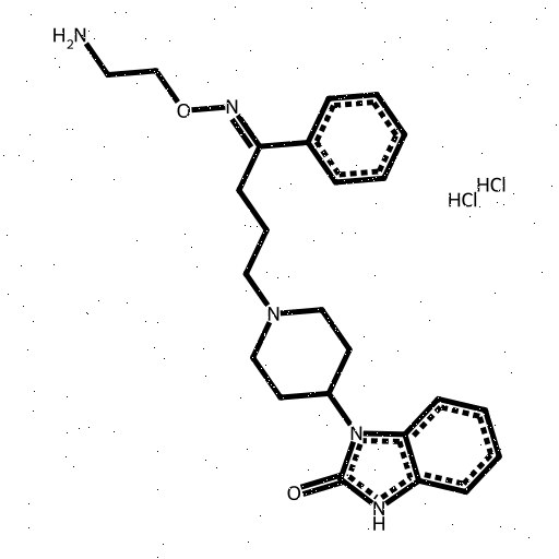 Cl.Cl.NCCO/N=C(\CCCN1CCC(n2c(=O)[nH]c3ccccc32)CC1)c1ccccc1